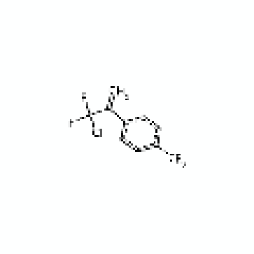 C=C(c1ccc(C(F)(F)F)cc1)C(F)(F)Cl